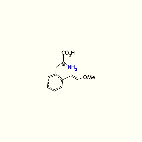 COC=Cc1ccccc1C[C@H](N)C(=O)O